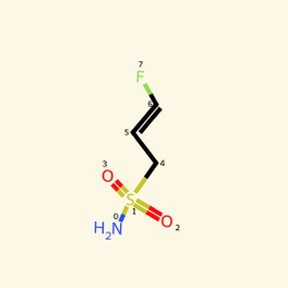 NS(=O)(=O)CC=CF